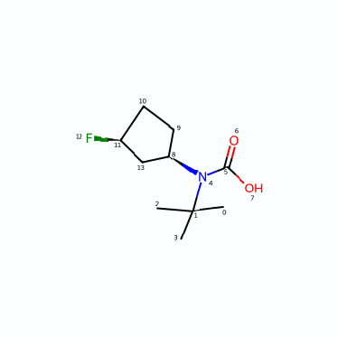 CC(C)(C)N(C(=O)O)[C@@H]1CC[C@H](F)C1